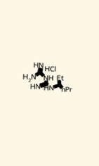 CCCC(CC)NC(=N)NC(=N)N.Cl